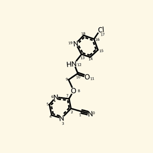 N#Cc1nccnc1OCC(=O)Nc1ccc(Cl)cn1